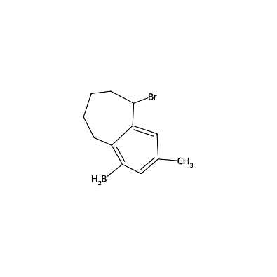 Bc1cc(C)cc2c1CCCCC2Br